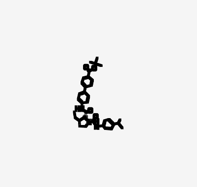 CCC1CCN(C(=O)Nc2ccc(C(C)C)cc2)[C@H]1C(=O)Nc1ccc(-c2ccc(C(=O)OC(C)(C)C)cc2)cc1